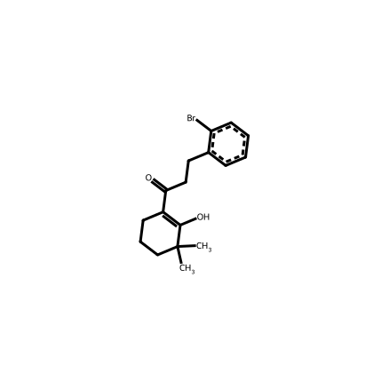 CC1(C)CCCC(C(=O)CCc2ccccc2Br)=C1O